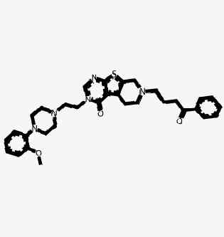 COc1ccccc1N1CCN(CCn2cnc3sc4c(c3c2=O)CCN(CCCC(=O)c2ccccc2)C4)CC1